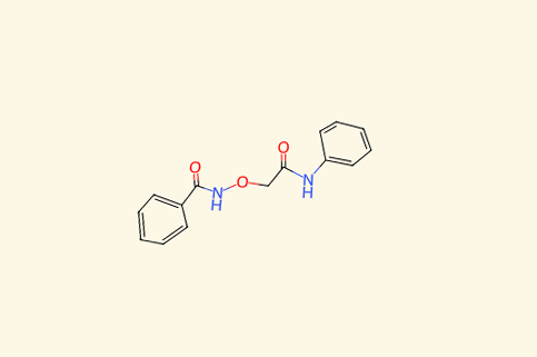 O=C(CONC(=O)c1ccccc1)Nc1ccccc1